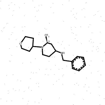 FC(F)(F)[C@H]1CC(NCc2ccccc2)CCN1C1CCOCC1